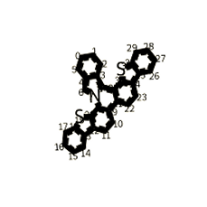 c1ccc2c(c1)cn1c3c(ccc4c5ccccc5sc43)c3ccc4c5ccccc5sc4c3c21